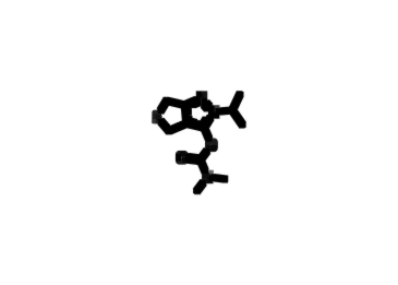 CC(C)n1nc2c(c1OC(=O)N(C)C)CSC2